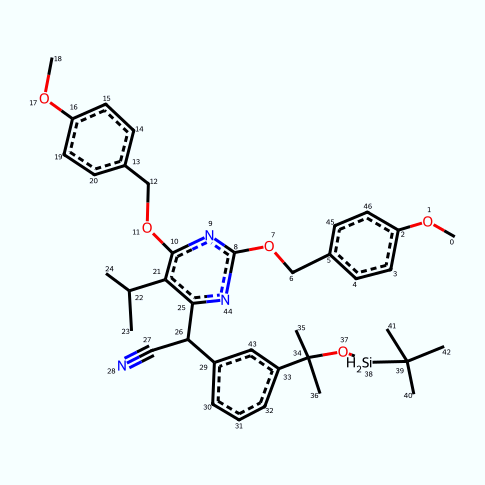 COc1ccc(COc2nc(OCc3ccc(OC)cc3)c(C(C)C)c(C(C#N)c3cccc(C(C)(C)O[SiH2]C(C)(C)C)c3)n2)cc1